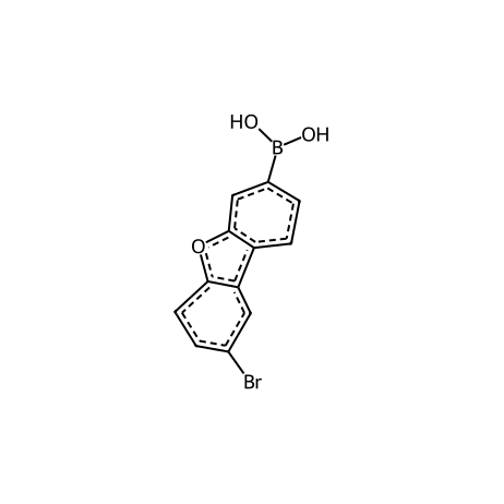 OB(O)c1ccc2c(c1)oc1ccc(Br)cc12